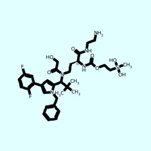 CC(C)(C)C(c1cc(-c2cc(F)ccc2F)cn1Cc1ccccc1)N(CC[C@H](NC(=O)OCC[Si](C)(O)O)C(=O)NCCN)C(=O)CO